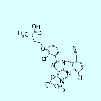 C[C@@H](CCOc1cccc(-c2nc3c(OC4(C)CC4)ncnc3n2Cc2cc(Cl)ccc2C#N)c1Cl)C(=O)O